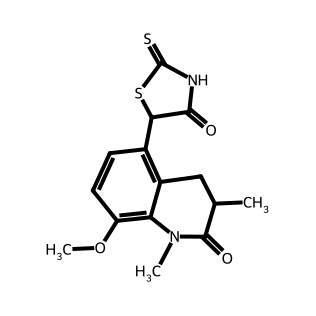 COc1ccc(C2SC(=S)NC2=O)c2c1N(C)C(=O)C(C)C2